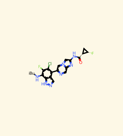 CCC(C)Nc1c(F)c(Cl)c(-c2cn3cc(NC(=O)[C@@H]4C[C@@H]4F)nc3cn2)c2cn[nH]c12